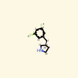 Fc1cc(F)cc(C[C@H]2CCNC2)c1